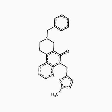 Cn1ccc(Cn2c(=O)c3c(c4cccnc42)CCN(Cc2ccccc2)C3)n1